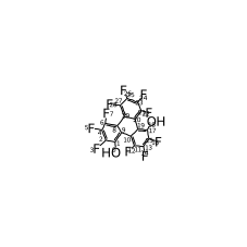 Oc1c(F)c(F)c(F)c2c1c1c(F)c(F)c(F)c(O)c1c1c(F)c(F)c(F)c(F)c21